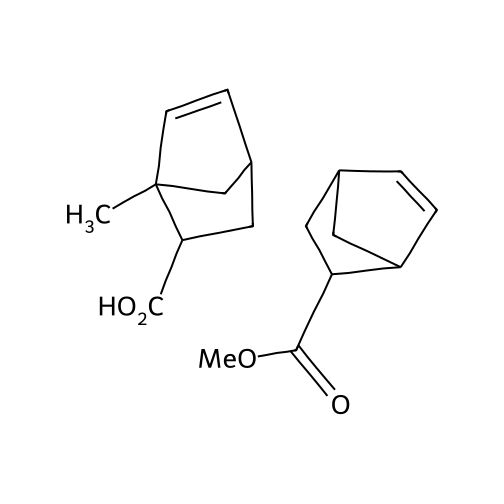 CC12C=CC(CC1C(=O)O)C2.COC(=O)C1CC2C=CC1C2